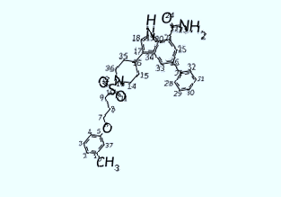 Cc1cccc(OCCCS(=O)(=O)N2CCC(c3c[nH]c4c(C(N)=O)cc(-c5ccccc5)cc34)CC2)c1